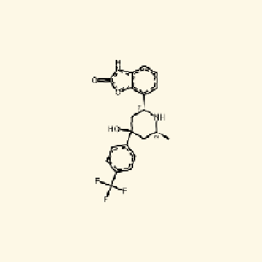 C[C@H]1CC(O)(c2ccc(C(F)(F)F)cc2)C[C@@H](c2cccc3[nH]c(=O)oc23)N1